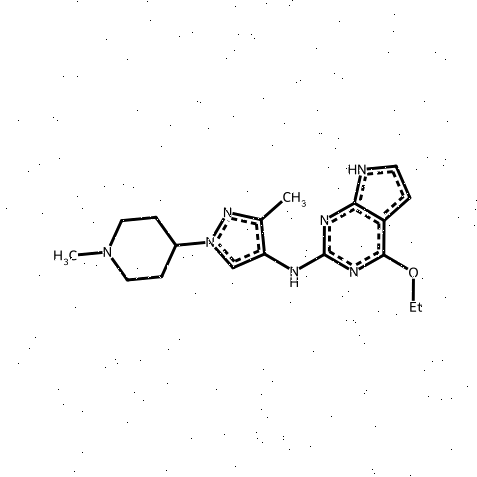 CCOc1nc(Nc2cn(C3CCN(C)CC3)nc2C)nc2[nH]ccc12